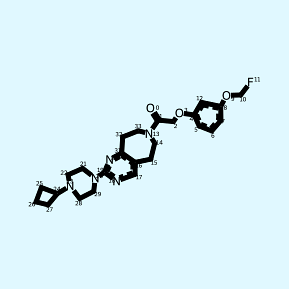 O=C(COc1cccc(OCF)c1)N1CCc2cnc(N3CCN(C4CCC4)CC3)nc2CC1